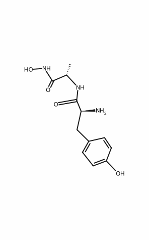 C[C@H](NC(=O)[C@@H](N)Cc1ccc(O)cc1)C(=O)NO